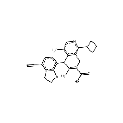 CC1=C(C(=O)O)Cc2c(C3CCC3)ncc(C)c2N1c1ccc(C#N)c2c1OCC2